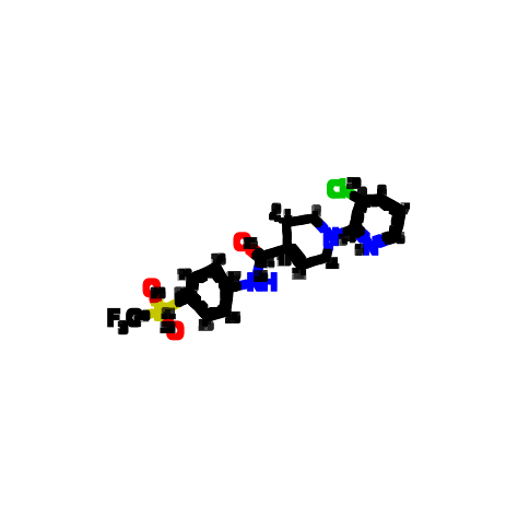 C[C@@H]1CN(c2ncccc2Cl)CC=C1C(=O)Nc1ccc(S(=O)(=O)C(F)(F)F)cc1